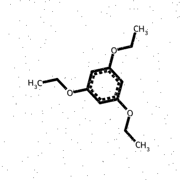 CCOc1cc(OCC)cc(OCC)c1